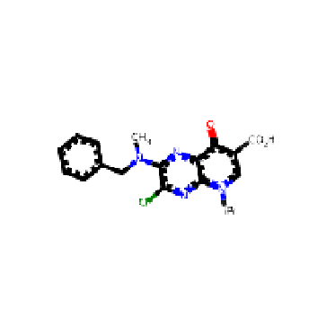 CC(C)n1cc(C(=O)O)c(=O)c2nc(N(C)Cc3ccccc3)c(Cl)nc21